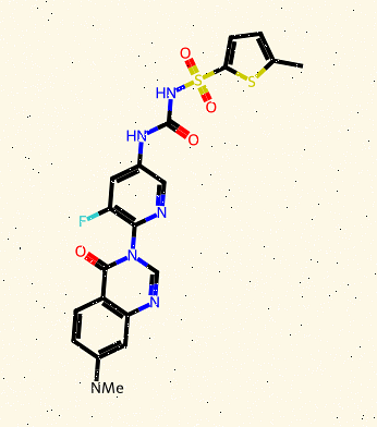 CNc1ccc2c(=O)n(-c3ncc(NC(=O)NS(=O)(=O)c4ccc(C)s4)cc3F)cnc2c1